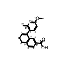 COc1ccc(C2=CCCc3ccc(C(=O)O)cc32)c(C)n1